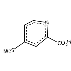 [CH2]Sc1ccnc(C(=O)O)c1